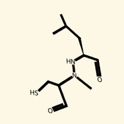 CC(C)C[C@@H](C=O)NN(C)C(C=O)CS